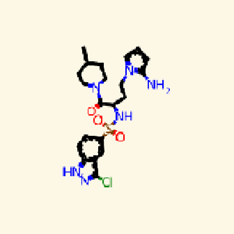 CC1CCN(C(=O)C(CCn2cccc2N)NS(=O)(=O)c2ccc3[nH]nc(Cl)c3c2)CC1